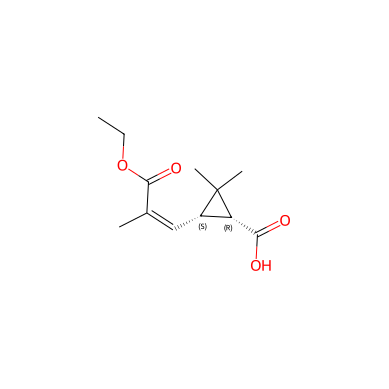 CCOC(=O)C(C)=C[C@H]1[C@@H](C(=O)O)C1(C)C